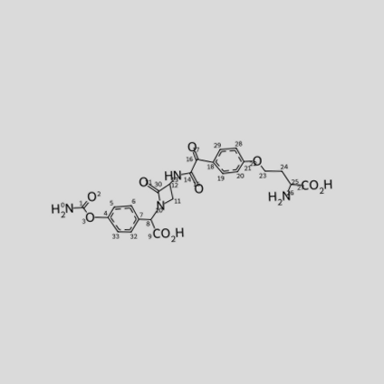 NC(=O)Oc1ccc(C(C(=O)O)N2CC(NC(=O)C(=O)c3ccc(OCCC(N)C(=O)O)cc3)C2=O)cc1